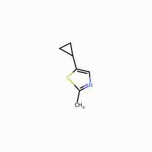 Cc1ncc(C2CC2)s1